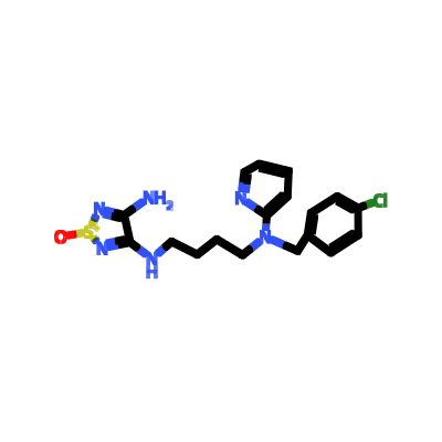 Nc1n[s+]([O-])nc1NCCCCN(Cc1ccc(Cl)cc1)c1ccccn1